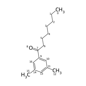 CCCCCCCC(=O)c1cc(C)cc(C)c1